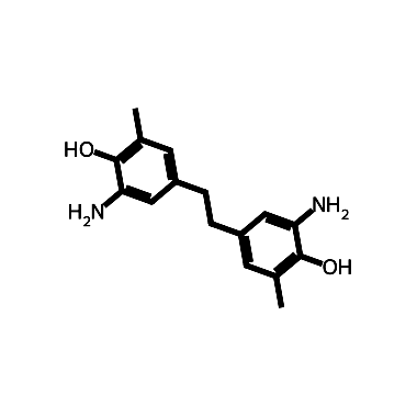 Cc1cc(CCc2cc(C)c(O)c(N)c2)cc(N)c1O